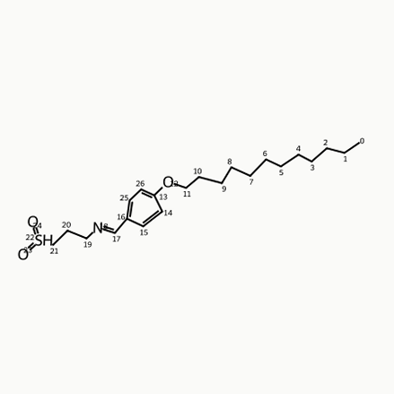 CCCCCCCCCCCCOc1ccc(/C=N/CCC[SH](=O)=O)cc1